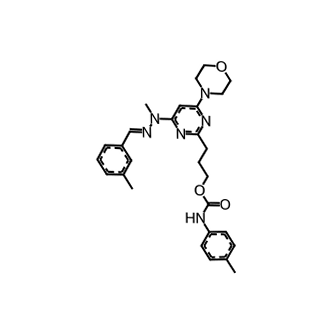 Cc1ccc(NC(=O)OCCCc2nc(N3CCOCC3)cc(N(C)N=Cc3cccc(C)c3)n2)cc1